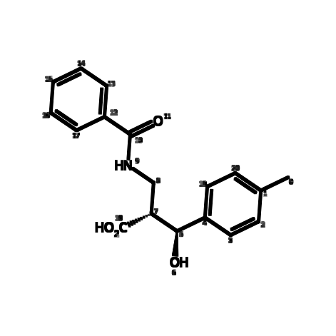 Cc1ccc([C@@H](O)[C@@H](CNC(=O)c2ccccc2)C(=O)O)cc1